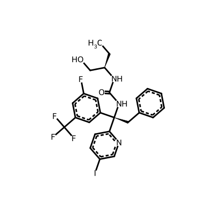 CC[C@H](CO)NC(=O)N[C@@](Cc1ccccc1)(c1cc(F)cc(C(F)(F)F)c1)c1ccc(I)cn1